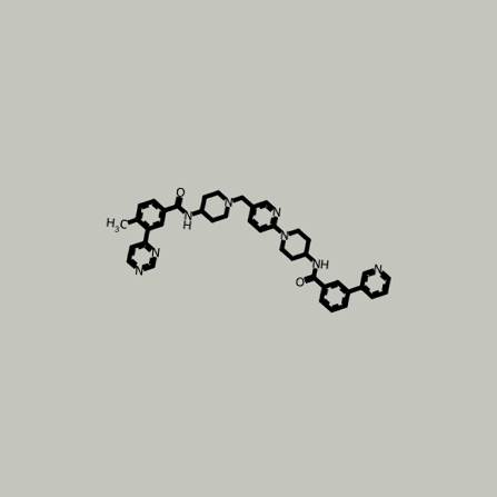 Cc1ccc(C(=O)NC2CCN(Cc3ccc(N4CCC(NC(=O)c5cccc(-c6cccnc6)c5)CC4)nc3)CC2)cc1-c1ccncn1